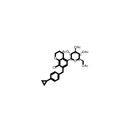 CC(=O)OC[C@H]1O[C@@H](c2cc(Cc3ccc(C4CC4)cc3)c(Cl)c3c2CCCO3)[C@H](OC(C)=O)[C@@H](OC(C)=O)[C@@H]1OC(C)=O